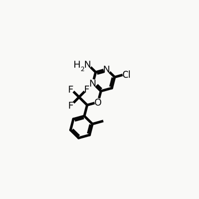 Cc1ccccc1C(Oc1cc(Cl)nc(N)n1)C(F)(F)F